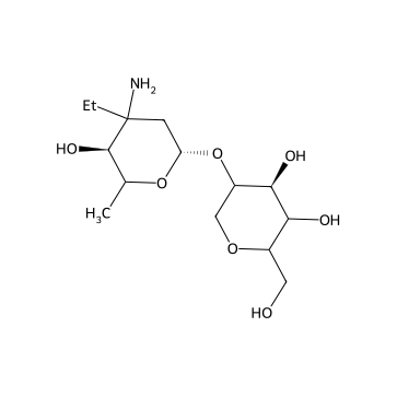 CCC1(N)C[C@H](OC2COC(CO)C(O)[C@@H]2O)OC(C)[C@H]1O